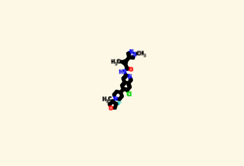 CC1C(C(=O)Nc2cc3cc(C4CCN(C5(C)COCC5F)CC4)c(Cl)cc3cn2)C1c1cnn(C)c1